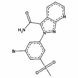 CS(=O)(=O)c1cc(Br)cc(-n2nc3ncccc3c2C(N)=O)c1